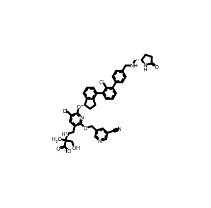 CC(CO)(NCc1cc(Cl)c(O[C@H]2CCc3c(-c4cccc(-c5ccc(CNC[C@@H]6CCC(=O)N6)cc5)c4Cl)cccc32)nc1OCc1cncc(C#N)c1)C(=O)O